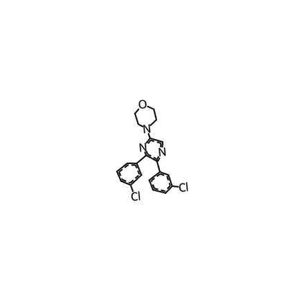 Clc1cccc(-c2ncc(N3CCOCC3)nc2-c2cccc(Cl)c2)c1